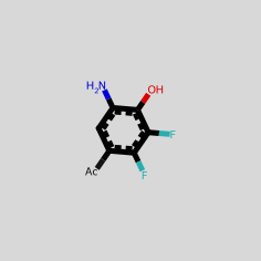 CC(=O)c1cc(N)c(O)c(F)c1F